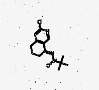 CC(C)(C)[S+]([O-])N=C1CCCc2cc(Cl)ncc21